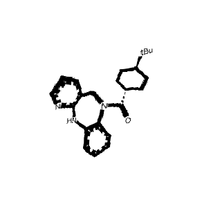 CC(C)(C)[C@H]1CC[C@H](C(=O)N2Cc3cccnc3Nc3ccccc32)CC1